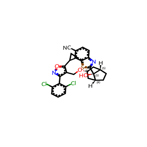 N#Cc1ccc2nc([C@@]3(O)[C@@H]4CC[C@H]3C[C@@H](OCc3c(-c5c(Cl)cccc5Cl)noc3C3CC3)C4)sc2c1